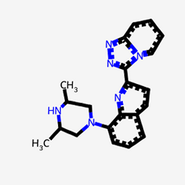 CC1CN(c2cccc3ccc(-c4nnc5ccccn45)nc23)CC(C)N1